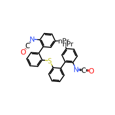 CCCc1ccc(N=C=O)c(-c2ccccc2Sc2ccccc2-c2cc(CCC)ccc2N=C=O)c1